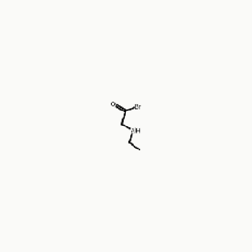 C[CH2][AlH][CH2]C(=O)Br